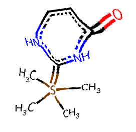 CS(C)(C)(C)=c1[nH]ccc(=O)[nH]1